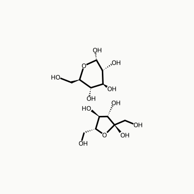 OC[C@H]1O[C@@](O)(CO)[C@@H](O)[C@@H]1O.OC[C@H]1O[C@H](O)[C@H](O)[C@@H](O)[C@@H]1O